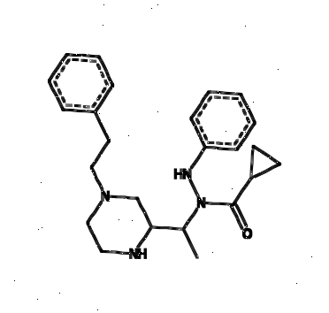 CC(C1CN(CCc2ccccc2)CCN1)N(Nc1ccccc1)C(=O)C1CC1